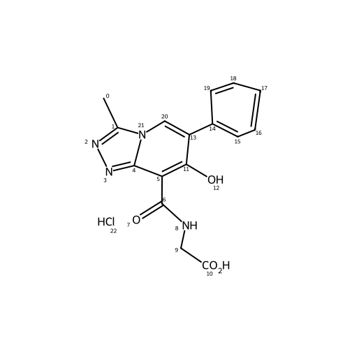 Cc1nnc2c(C(=O)NCC(=O)O)c(O)c(-c3ccccc3)cn12.Cl